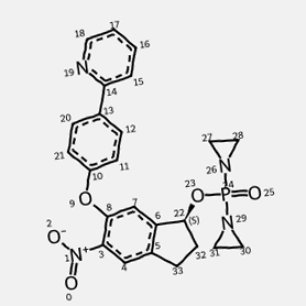 O=[N+]([O-])c1cc2c(cc1Oc1ccc(-c3ccccn3)cc1)[C@@H](OP(=O)(N1CC1)N1CC1)CC2